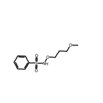 COCCCONS(=O)(=O)c1ccccc1